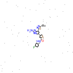 CCC(C)c1nnc(-c2cc(-c3csc(C(=O)NCc4ccc(F)cc4)c3)cn3nc(N)nc23)s1